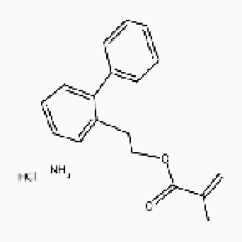 C=C(C)C(=O)OCCc1ccccc1-c1ccccc1.Cl.N